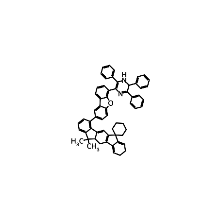 CC1(C)c2cccc(-c3ccc4oc5c(C6=C(c7ccccc7)NC(c7ccccc7)C(c7ccccc7)=N6)cccc5c4c3)c2C2=CC3=C(CC21)C1=CCCC=C1C31CCCCC1